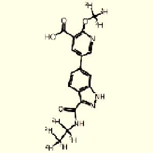 [2H]C([2H])([2H])Oc1ncc(-c2ccc3c(C(=O)NC([2H])([2H])C([2H])([2H])[2H])n[nH]c3c2)cc1C(=O)O